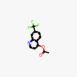 CC(=O)Oc1ccnc2cc(C(F)(F)F)ccc12